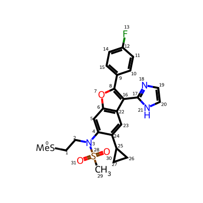 CSCCN(c1cc2oc(-c3ccc(F)cc3)c(-c3ncc[nH]3)c2cc1C1CC1)S(C)(=O)=O